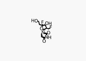 O=c1ccn([C@@H]2O[C@](F)(CCO)[C@@H](O)C2CF)c(=O)[nH]1